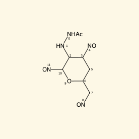 CC(=O)NNC1C(N=O)CC(CN=O)OC1N=O